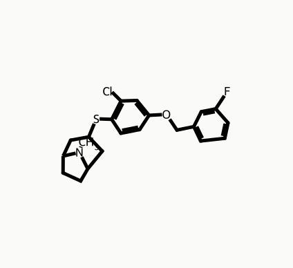 CN1C2CCC1CC(Sc1ccc(OCc3cccc(F)c3)cc1Cl)C2